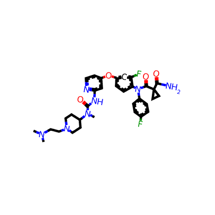 CN(C)CCN1CCC(N(C)C(=O)Nc2cc(Oc3ccc(N(C(=O)C4(C(N)=O)CC4)c4ccc(F)cc4)c(F)c3)ccn2)CC1